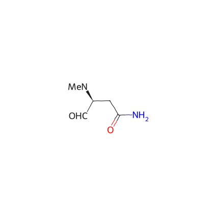 CN[C@H](C=O)CC(N)=O